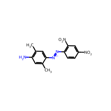 Cc1cc(/N=N/c2ccc([N+](=O)[O-])cc2[N+](=O)[O-])c(C)cc1N